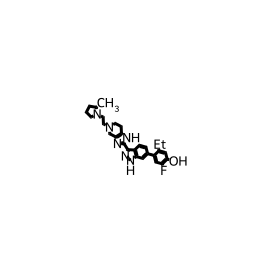 CCc1cc(O)c(F)cc1-c1ccc2c(-c3nc4c([nH]3)CCN(CCN3CCCC3C)C4)n[nH]c2c1